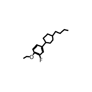 CCCCC1CCC(c2ccc(OCC)c(F)c2)CC1